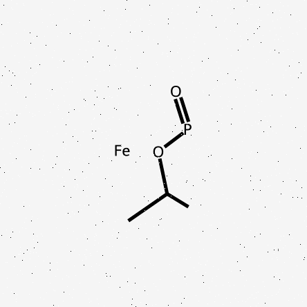 CC(C)OP=O.[Fe]